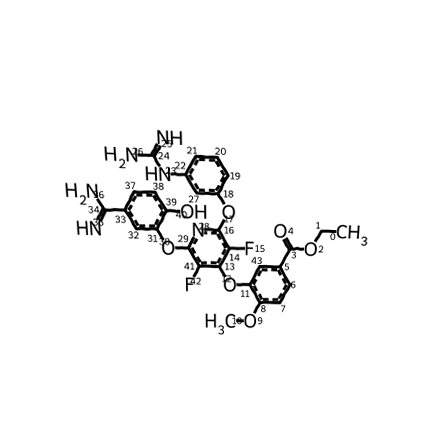 CCOC(=O)c1ccc(OC)c(Oc2c(F)c(Oc3cccc(NC(=N)N)c3)nc(Oc3cc(C(=N)N)ccc3O)c2F)c1